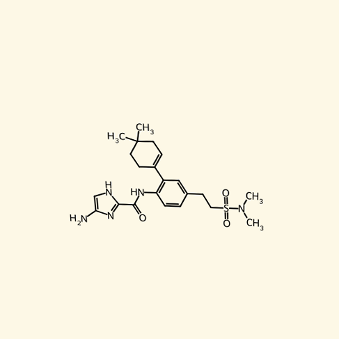 CN(C)S(=O)(=O)CCc1ccc(NC(=O)c2nc(N)c[nH]2)c(C2=CCC(C)(C)CC2)c1